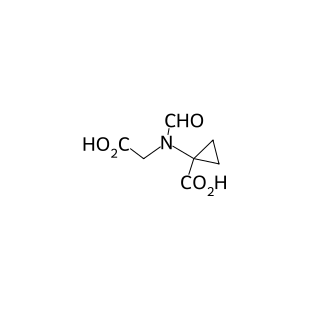 O=CN(CC(=O)O)C1(C(=O)O)CC1